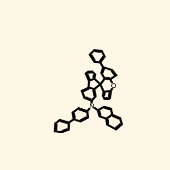 c1ccc(-c2ccc(N(c3ccc4c(c3)C3(c5ccccc5Oc5ccc(-c6ccccc6)cc53)c3ccccc3-4)c3ccc4ccccc4c3)cc2)cc1